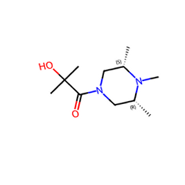 C[C@@H]1CN(C(=O)C(C)(C)O)C[C@H](C)N1C